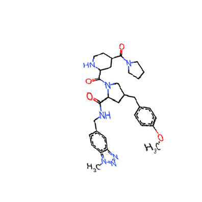 COc1ccc(CC2CC(C(=O)NCc3ccc4c(c3)nnn4C)N(C(=O)C3CC(C(=O)N4CCCC4)CCN3)C2)cc1